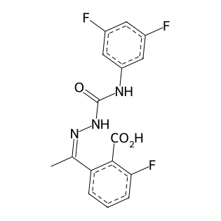 CC(=NNC(=O)Nc1cc(F)cc(F)c1)c1cccc(F)c1C(=O)O